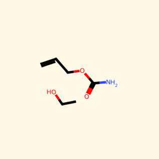 C=CCOC(N)=O.CCO